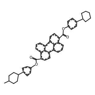 CC1CCC(c2ccc(OC(=O)c3ccc4c5cccc6c(C(=O)Oc7ccc(C8CCCCC8)cc7)ccc(c7cccc3c74)c65)cc2)CC1